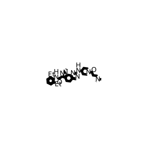 CCc1cccc(CC)c1NC(=O)c1nn(C)c2c1CCc1cnc(NC3CCN(C(=O)CCN(C)C)CC3)nc1-2